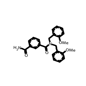 COc1ccccc1CN(Cc1ccccc1OC)C(=O)c1cccc(C(N)=O)c1